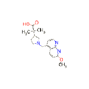 COc1ccc2c(CN3CCC(C(C)(C)C(=O)O)C3)ccnc2n1